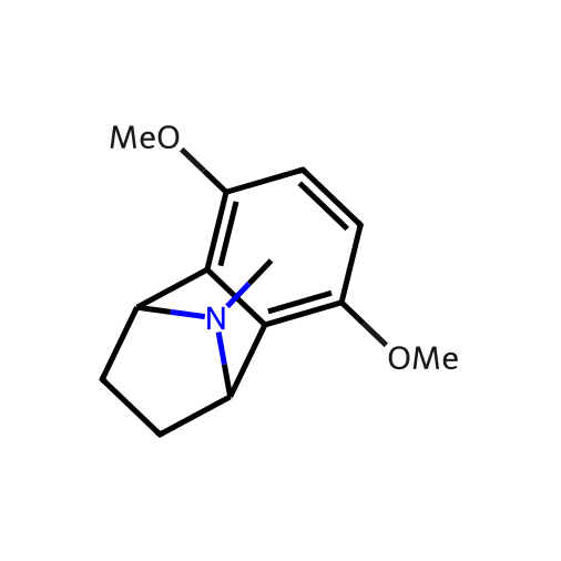 COc1ccc(OC)c2c1C1CCC2N1C